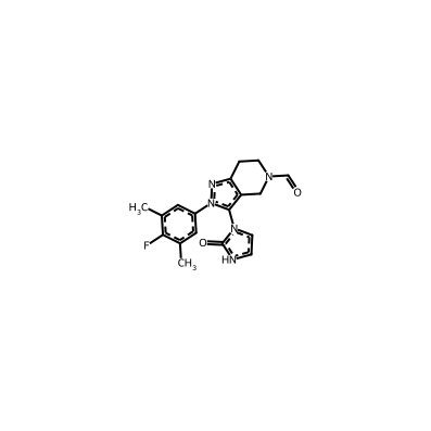 Cc1cc(-n2nc3c(c2-n2cc[nH]c2=O)CN(C=O)CC3)cc(C)c1F